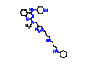 CN(Cc1cn(CCCNCCCNC2CCCCC2)nn1)c1nc(NC2CCNCC2)c2ccccc2n1